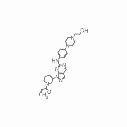 C=CC(=O)N1CCCC(n2ncc3cnc(Nc4ccc(N5CCN(CCO)CC5)cc4)nc32)C1